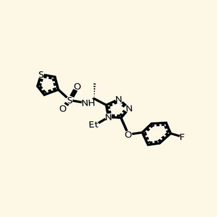 CCn1c(Oc2ccc(F)cc2)nnc1[C@@H](C)NS(=O)(=O)c1ccsc1